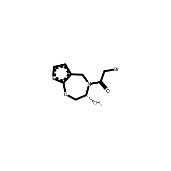 C[C@@H]1COc2sccc2CN1C(=O)CBr